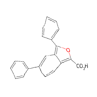 O=C(O)c1oc(-c2ccccc2)c2cc(-c3ccccc3)ccc12